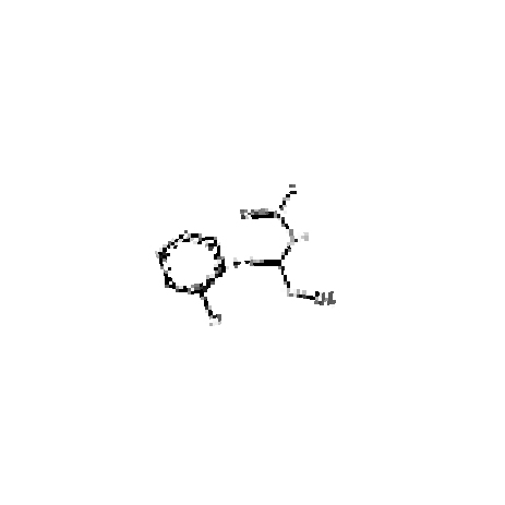 CNC(=N)N[N+](=O)[O-].Oc1ccccc1